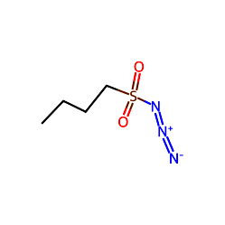 CCCCS(=O)(=O)N=[N+]=[N-]